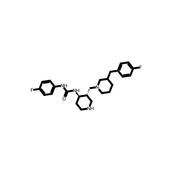 O=C(Nc1ccc(F)cc1)N[C@@H]1CCNC[C@H]1CN1CCCC(Cc2ccc(F)cc2)C1